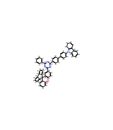 C1=Cc2c(n(-c3ccc(-c4ccc(-c5nc(-c6ccccc6)nc(-c6ccc7c(c6)C6(c8ccccc8O7)c7ccccc7-c7ccccc76)n5)cc4)cc3)c3ccccc23)CC1